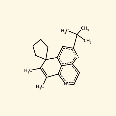 CC1=C(C)C2(CCCC2)c2cc(C(C)(C)C)nc3ccnc1c23